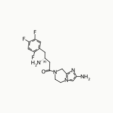 Nc1cn2c(n1)CN(C(=O)C[C@H](N)Cc1cc(F)c(F)cc1F)CC2